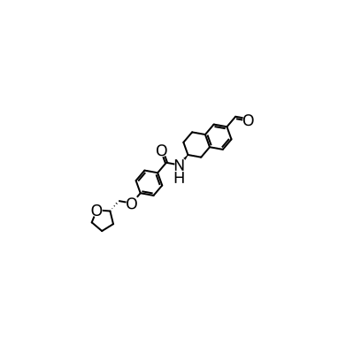 O=Cc1ccc2c(c1)CC[C@H](NC(=O)c1ccc(OC[C@@H]3CCCO3)cc1)C2